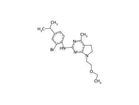 CCOCCN1CCc2c(C)nc(Nc3ccc(C(C)C)cc3Br)nc21